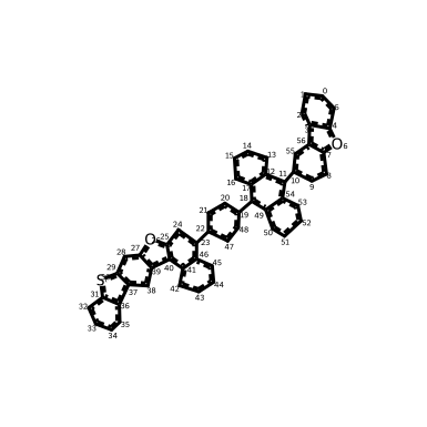 c1ccc2c(c1)oc1ccc(-c3c4ccccc4c(-c4ccc(-c5cc6oc7cc8sc9ccccc9c8cc7c6c6ccccc56)cc4)c4ccccc34)cc12